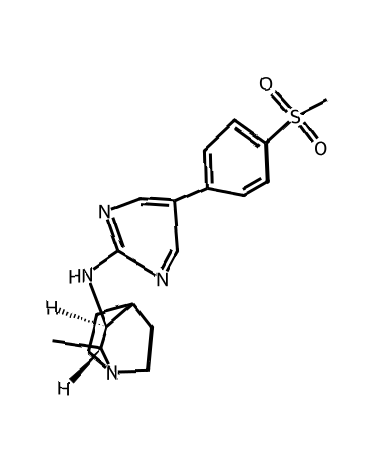 C[C@@H]1[C@@H](Nc2ncc(-c3ccc(S(C)(=O)=O)cc3)cn2)C2CCN1CC2